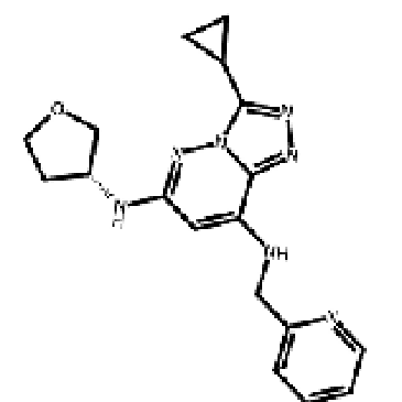 c1ccc(CNc2cc(N[C@@H]3CCOC3)nn3c(C4CC4)nnc23)nc1